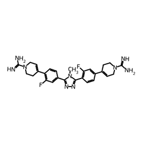 Cn1c(-c2ccc(C3=CCN(C(=N)N)CC3)c(F)c2)nnc1-c1ccc(C2=CCN(C(=N)N)CC2)cc1F